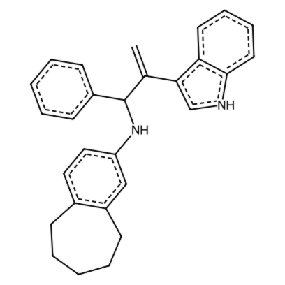 C=C(c1c[nH]c2ccccc12)C(Nc1ccc2c(c1)CCCCC2)c1ccccc1